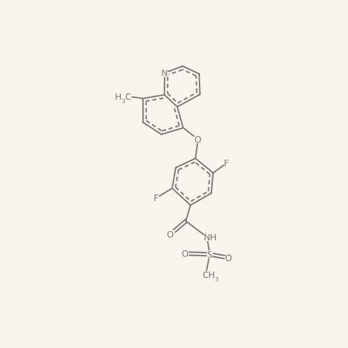 Cc1ccc(Oc2cc(F)c(C(=O)NS(C)(=O)=O)cc2F)c2cccnc12